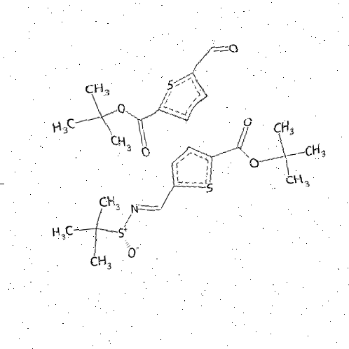 CC(C)(C)OC(=O)c1ccc(C=N[S@+]([O-])C(C)(C)C)s1.CC(C)(C)OC(=O)c1ccc(C=O)s1